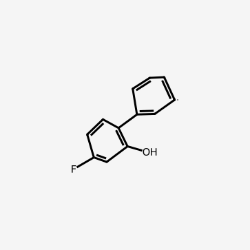 Oc1cc(F)ccc1-c1c[c]ccc1